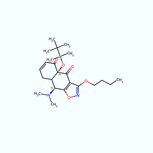 CCCCOc1noc2c1C(=O)[C@@]1(O[Si](C)(C)C(C)(C)C)C(=O)C=CCC1[C@@H]2N(C)C